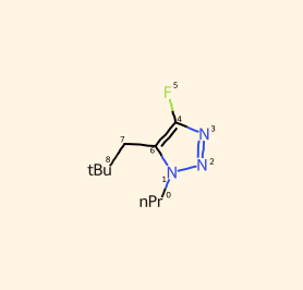 CCCn1nnc(F)c1CC(C)(C)C